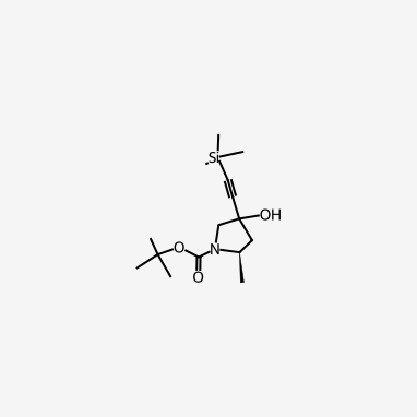 C[C@@H]1CC(O)(C#C[Si](C)(C)C)CN1C(=O)OC(C)(C)C